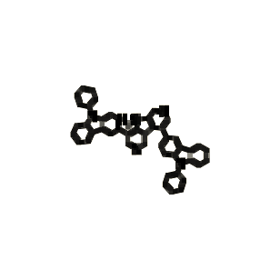 c1ccc(-n2c3ccccc3c3cc(-c4cncc5c4[SiH2]c4cncc(-c6ccc7c(c6)c6ccccc6n7-c6ccccc6)c4-5)ccc32)cc1